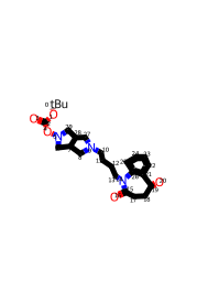 CC(C)(C)OC(=O)ON1CC2CN(CCCCN3C(=O)CCC(=O)c4ccccc43)CC2C1